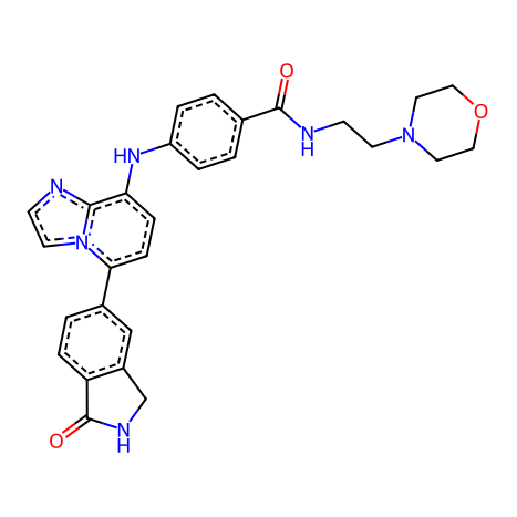 O=C(NCCN1CCOCC1)c1ccc(Nc2ccc(-c3ccc4c(c3)CNC4=O)n3ccnc23)cc1